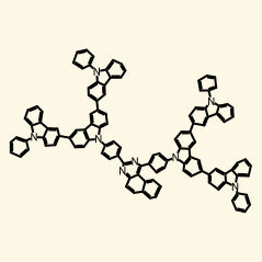 c1ccc(-n2c3ccccc3c3cc(-c4ccc5c(c4)c4cc(-c6ccc7c(c6)c6ccccc6n7-c6ccccc6)ccc4n5-c4ccc(-c5nc(-c6ccc(-n7c8ccc(-c9ccc%10c(c9)c9ccccc9n%10-c9ccccc9)cc8c8cc(-c9ccc%10c(c9)c9ccccc9n%10-c9ccccc9)ccc87)cc6)c6c(ccc7ccccc76)n5)cc4)ccc32)cc1